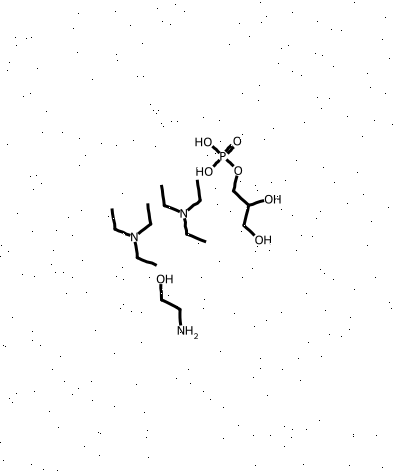 CCN(CC)CC.CCN(CC)CC.NCCO.O=P(O)(O)OCC(O)CO